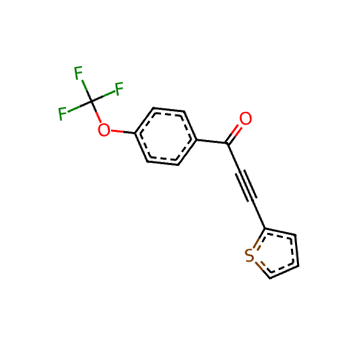 O=C(C#Cc1cccs1)c1ccc(OC(F)(F)F)cc1